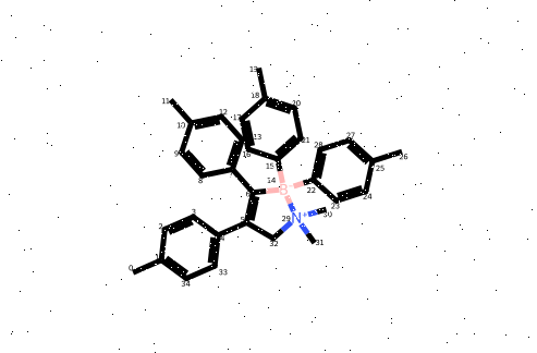 Cc1ccc(C2=C(c3ccc(C)cc3)[B-](c3ccc(C)cc3)(c3ccc(C)cc3)[N+](C)(C)C2)cc1